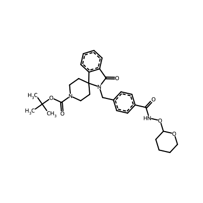 CC(C)(C)OC(=O)N1CCC2(CC1)c1ccccc1C(=O)N2Cc1ccc(C(=O)NOC2CCCCO2)cc1